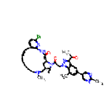 CC(=O)c1nn(CC(=O)N2C3C[C@]34C[C@H]2C(=O)Nc2nc(Br)ccc2CC=CCCCCN(C)C4)c2c(C)cc(-c3cnc(C)nc3)cc12